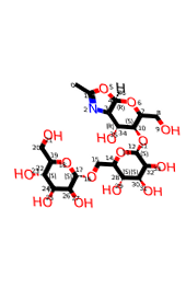 CC1=NC2[C@@H](O1)OC(CO)[C@@H](O[C@@H]1OC(CO[C@H]3OC(CO)[C@@H](O)[C@H](O)C3O)[C@@H](O)[C@H](O)C1O)[C@@H]2O